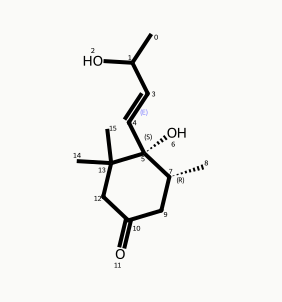 CC(O)/C=C/[C@@]1(O)[C@H](C)CC(=O)CC1(C)C